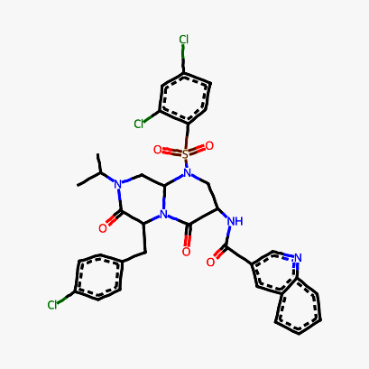 CC(C)N1CC2N(C(=O)C(NC(=O)c3cnc4ccccc4c3)CN2S(=O)(=O)c2ccc(Cl)cc2Cl)C(Cc2ccc(Cl)cc2)C1=O